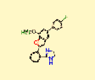 COc1cc(-c2ccc(F)cc2)cc2cc(-c3ccccc3C3=NCCN3)oc12.Cl